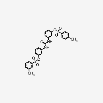 Cc1ccc(S(=O)(=O)Oc2cccc(NC(=O)Nc3cccc(OS(=O)(=O)c4cccc(C)c4)c3)c2)cc1